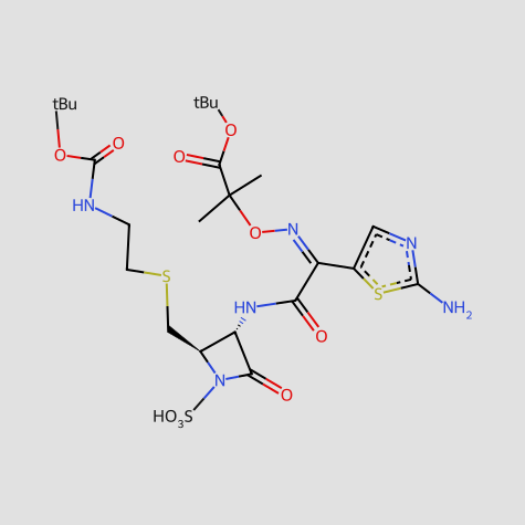 CC(C)(C)OC(=O)NCCSC[C@H]1[C@H](NC(=O)/C(=N\OC(C)(C)C(=O)OC(C)(C)C)c2cnc(N)s2)C(=O)N1S(=O)(=O)O